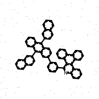 c1cc(-c2ccc3c(-c4ccc5ccccc5c4)c4ccccc4c(-c4ccc5ccccc5c4)c3c2)cc(-c2nc3ccccc3c3c4ccccc4c4ccccc4c23)c1